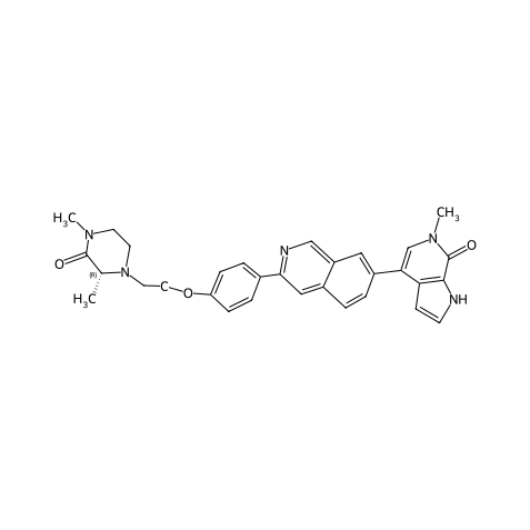 C[C@@H]1C(=O)N(C)CCN1CCOc1ccc(-c2cc3ccc(-c4cn(C)c(=O)c5[nH]ccc45)cc3cn2)cc1